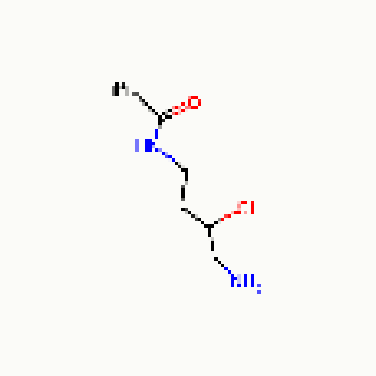 CC(C)C(=O)NCCC(O)CN